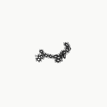 CC1(C)c2ccccc2-c2ccc(N(c3ccccc3)c3ccc(-c4ccc(-c5ccc6c(c5)c5ccccc5c5nc7cc(-c8ccc9oc%10ccccc%10c9c8)ccn7c65)cc4)cc3)cc21